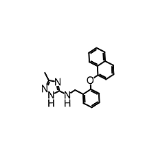 Cc1n[nH]c(NCc2ccccc2Oc2cccc3ccccc23)n1